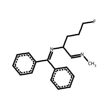 C/N=C/C(CCCF)N=C(c1ccccc1)c1ccccc1